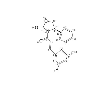 O=C(C=Cc1cc(F)cc(F)c1)N1C(=O)OC[C@H]1c1ccccc1